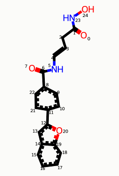 O=C(CC=CNC(=O)c1ccc(-c2cc3ccccc3o2)cc1)NO